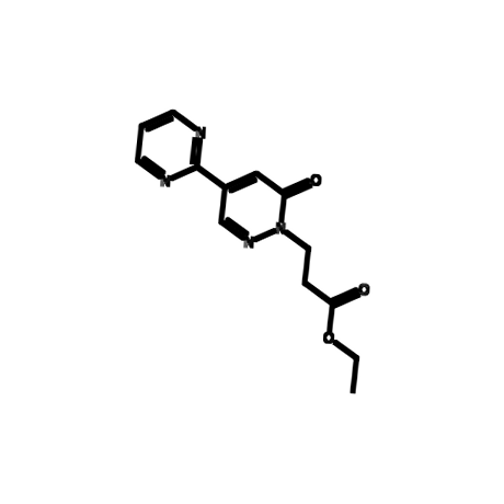 CCOC(=O)CCn1ncc(-c2ncccn2)cc1=O